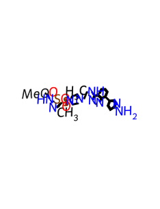 COC(=O)Nc1nc(C)c(S(=O)(=O)N2CCN(C[C@H](C)Nc3ncnc4c(-c5ccc(N)nc5)cccc34)CC2)s1